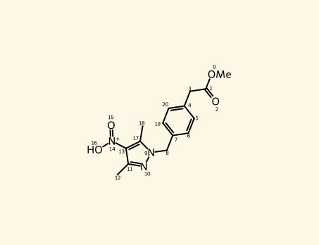 COC(=O)Cc1ccc(Cn2nc(C)c([N+](=O)O)c2C)cc1